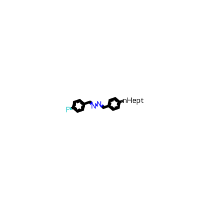 CCCCCCCc1ccc(/C=N/N=C/c2ccc(F)cc2)cc1